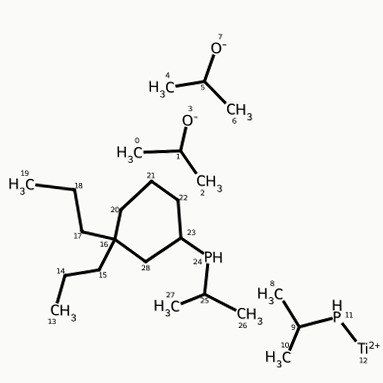 CC(C)[O-].CC(C)[O-].CC(C)[PH][Ti+2].CCCC1(CCC)CCCC(PC(C)C)C1